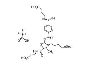 CCCCCCCCCCCCCCN1C(=NC(=O)c2ccc(C(=N)NCCCC(=O)O)cc2)SC(C(=O)NCCC(=O)O)C1C.O=C(O)C(F)(F)F